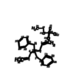 C=CC[N+](CC=C)(Cc1ccccc1)Cc1ccccc1.CCOS(=O)(=O)[O-]